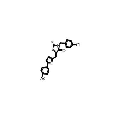 CC(=O)c1ccc(-c2ccc(/C=C3\SC(=S)N(Cc4ccc(Cl)cc4)C3=O)o2)cc1